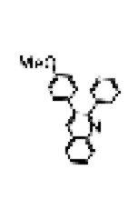 COc1ccc(-c2cc3ccccc3nc2-c2cc[c]cc2)cc1